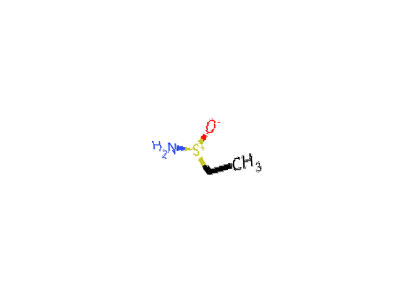 CC[S@@+](N)[O-]